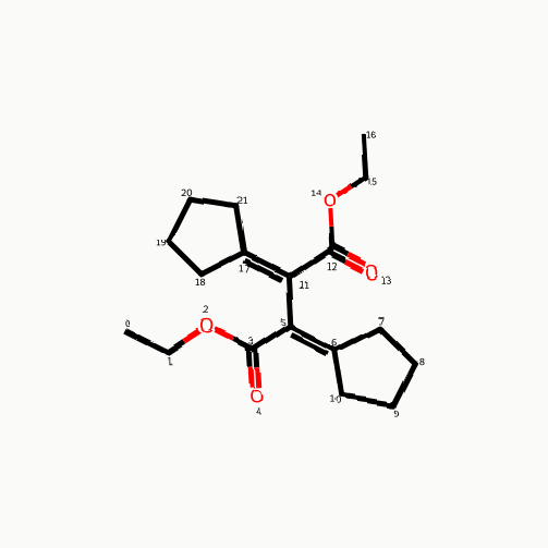 CCOC(=O)C(=C1CCCC1)C(C(=O)OCC)=C1CCCC1